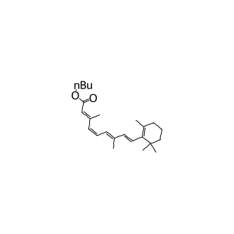 CCCCOC(=O)/C=C(C)/C=C\C=C(C)\C=C\C1=C(C)CCCC1(C)C